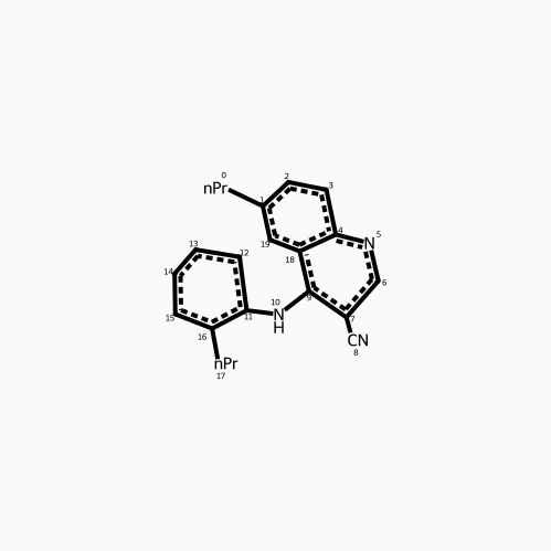 CCCc1ccc2ncc(C#N)c(Nc3ccccc3CCC)c2c1